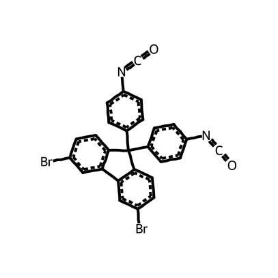 O=C=Nc1ccc(C2(c3ccc(N=C=O)cc3)c3ccc(Br)cc3-c3cc(Br)ccc32)cc1